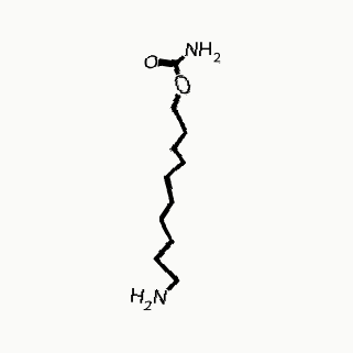 NCCCCCCCCCCOC(N)=O